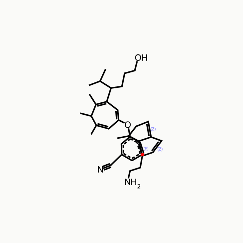 CC1=CC(Oc2cc(C#N)ccc2C2=C\CC(C)/C=C(CCN)/C=C\2)=CC(C(CCCO)C(C)C)=C(C)C1C